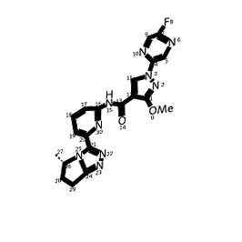 COc1nn(-c2cnc(F)cn2)cc1C(=O)Nc1cccc(-c2nnc3n2[C@@H](C)CC3)n1